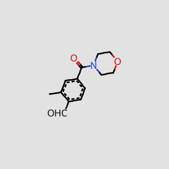 Cc1cc(C(=O)N2CCOCC2)ccc1C=O